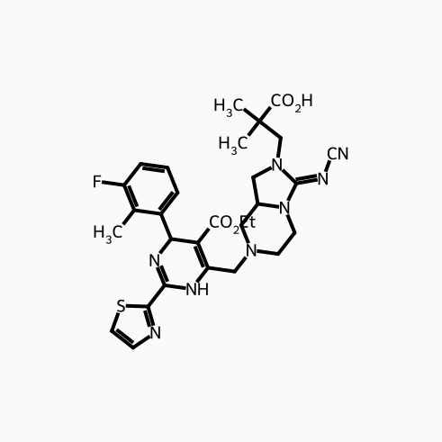 CCOC(=O)C1=C(CN2CCN3C(=NC#N)N(CC(C)(C)C(=O)O)CC3C2)NC(c2nccs2)=NC1c1cccc(F)c1C